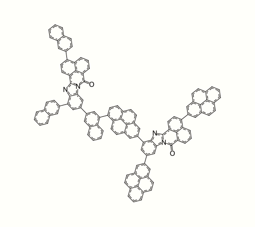 O=c1c2cccc3c(-c4ccc5ccccc5c4)ccc(c32)c2nc3c(-c4ccc5ccccc5c4)cc(-c4cc(-c5ccc6ccc7cc(-c8cc(-c9cc%10ccc%11cccc%12ccc(c9)c%10c%11%12)cc9c8nc8c%10ccc(-c%11cc%12ccc%13cccc%14ccc(c%11)c%12c%13%14)c%11cccc(c(=O)n98)c%11%10)cc8ccc5c6c78)c5ccccc5c4)cc3n12